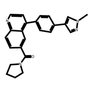 Cn1cc(-c2ccc(-c3ccnc4ccc(C(=O)N5CCCC5)cc34)cc2)cn1